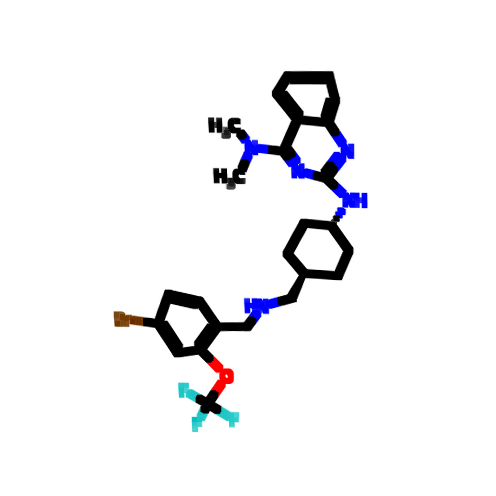 CN(C)c1nc(N[C@H]2CC[C@H](CNCc3ccc(Br)cc3OC(F)(F)F)CC2)nc2ccccc12